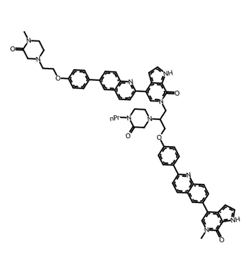 CCCN1CCN(C(COc2ccc(-c3ccc4cc(-c5cn(C)c(=O)c6[nH]ccc56)ccc4n3)cc2)Cn2cc(-c3ccc4cc(-c5ccc(OCCN6CCN(C)C(=O)C6)cc5)ccc4n3)c3cc[nH]c3c2=O)CC1=O